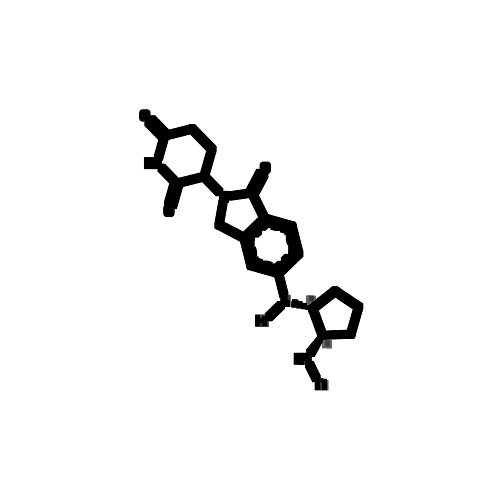 CCN[C@@H]1CCC[C@H]1N(CC)c1ccc2c(c1)CN(C1CCC(=O)NC1=O)C2=O